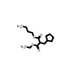 CCCCOC(=O)C(CC1CCCC1)C(=O)OCC